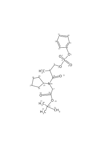 CC(COS(=O)(=O)Oc1ccccc1)C(=O)N(CC(=O)OC(C)(C)C)C1CCCC1